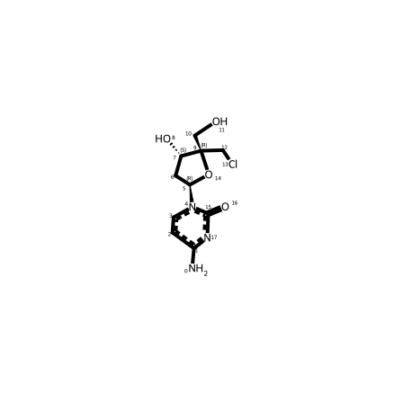 Nc1ccn([C@H]2C[C@H](O)[C@](CO)(CCl)O2)c(=O)n1